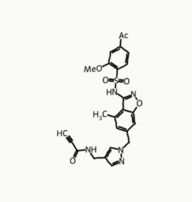 C#CC(=O)NCc1cnn(Cc2cc(C)c3c(NS(=O)(=O)c4ccc(C(C)=O)cc4OC)noc3c2)c1